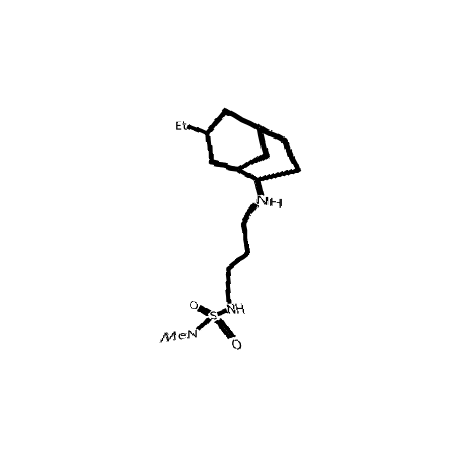 CCC1CC2CCC(NCCCNS(=O)(=O)NC)C(C1)C2